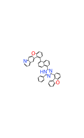 c1ccc(C2=NC(c3cccc4oc5ccccc5c34)=NC(c3cccc4c(-c5cccc6oc7cc8ncccc8cc7c56)cccc34)N2)cc1